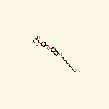 CCCCCCCCCCOc1ccc2cc(OCc3ccc(C(=O)CC(C)C)cc3)ccc2c1